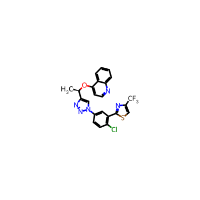 C[C@@H](Oc1ccnc2ccccc12)c1cn(-c2ccc(Cl)c(-c3nc(C(F)(F)F)cs3)c2)nn1